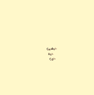 [As-3].[As-3].[Cd+2].[Ge+4]